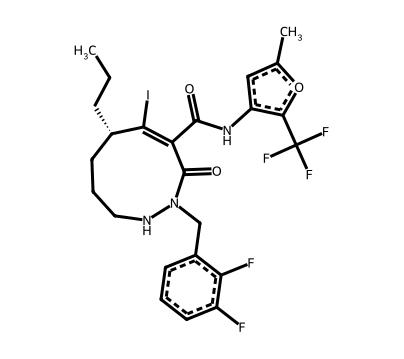 CCC[C@H]1CCCNN(Cc2cccc(F)c2F)C(=O)/C(C(=O)Nc2cc(C)oc2C(F)(F)F)=C\1I